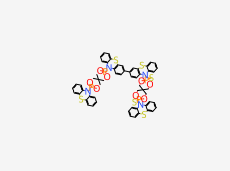 S=P1(N2c3ccccc3Sc3ccccc32)OCC2(CO1)COP(=S)(N1c3ccccc3Sc3cc(-c4ccc5c(c4)Sc4ccccc4N5P4OCC5(COP(N6c7ccccc7Sc7ccccc76)OC5)CO4)ccc31)OC2